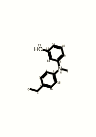 CCc1ccc(N(C)c2cccc(O)c2)cc1